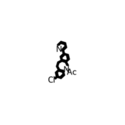 CC(=O)N1Cc2ccc(-c3ccccn3)cc2CCc2cc(Cl)ccc21